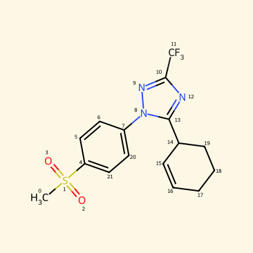 CS(=O)(=O)c1ccc(-n2nc(C(F)(F)F)nc2C2C=CCCC2)cc1